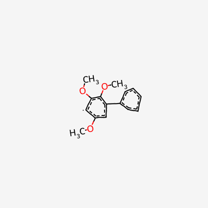 COc1[c]c(OC)c(OC)c(-c2ccccc2)c1